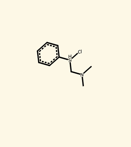 CN(C)C[SiH](Cl)c1ccccc1